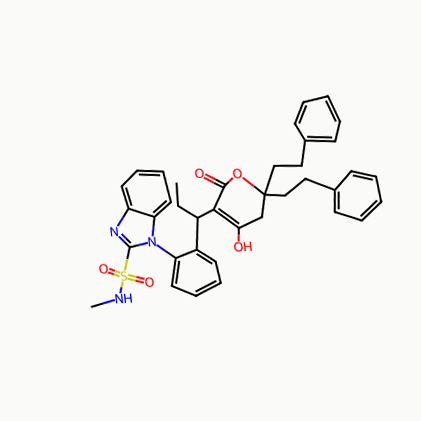 CCC(C1=C(O)CC(CCc2ccccc2)(CCc2ccccc2)OC1=O)c1ccccc1-n1c(S(=O)(=O)NC)nc2ccccc21